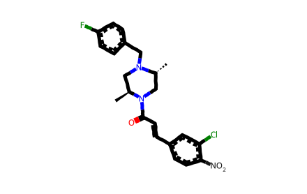 C[C@@H]1CN(C(=O)C=Cc2ccc([N+](=O)[O-])c(Cl)c2)[C@@H](C)CN1Cc1ccc(F)cc1